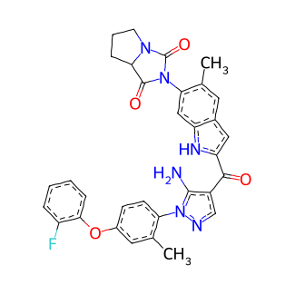 Cc1cc2cc(C(=O)c3cnn(-c4ccc(Oc5ccccc5F)cc4C)c3N)[nH]c2cc1N1C(=O)C2CCCN2C1=O